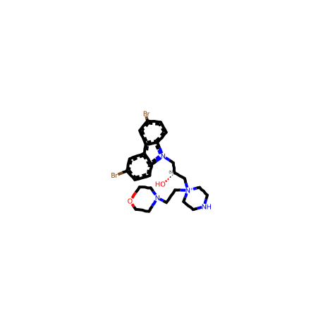 O[C@H](Cn1c2ccc(Br)cc2c2cc(Br)ccc21)C[N+]1(CCN2CCOCC2)CCNCC1